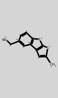 Cc1cc2c(s1)sc1ccc(CC(C)(C)C)cc12